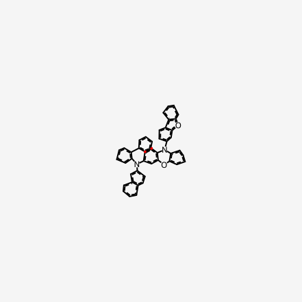 c1ccc(-c2ccccc2N(c2ccc3c(c2)Oc2ccccc2N3c2ccc3c(c2)oc2ccccc23)c2ccc3ccccc3c2)cc1